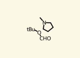 CC(C)(C)OC=O.CN1CCCC1